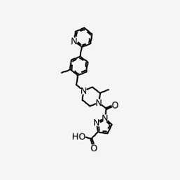 Cc1cc(-c2ccccn2)ccc1CN1CCN(C(=O)n2ccc(C(=O)O)n2)C(C)C1